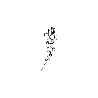 CCCCCCCOc1ccc(C(=O)Oc2ccc(S(F)(F)(F)(F)F)c(Cl)c2)cc1